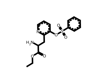 CCOC(=O)C(N)Cc1ncccc1OS(=O)(=O)c1ccccc1